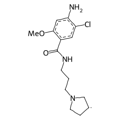 COc1cc(N)c(Cl)cc1C(=O)NCCCN1C[CH]CC1